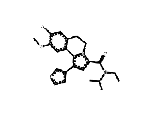 CCN(C(=O)c1cc(-c2ccsc2)c2n1CCc1cc(Br)c(OC)cc1-2)C(C)C